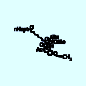 CC#CCOc1ccc(C[C@H](NC(=O)[C@@H](/C=C/CCCCCCC(=O)CCCCCCC)[C@@](O)(CCOC)C(=O)OC(C)(C)C)C(C)=O)cc1